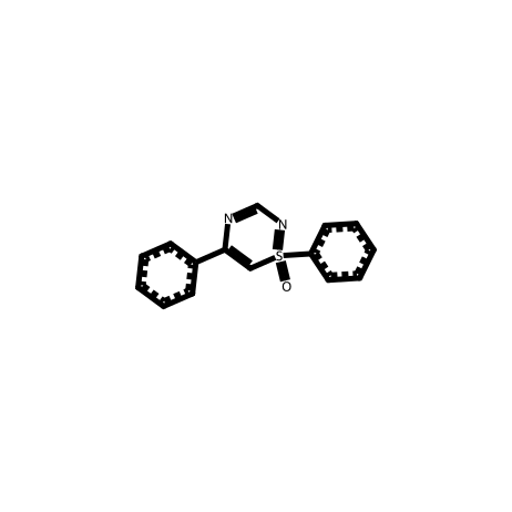 O=S1(c2ccccc2)=NC=NC(c2ccccc2)=C1